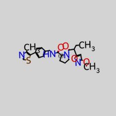 CCC(C(=O)N1CCC[C@H]1C(=O)NCc1ccc(-c2scnc2C)cc1)c1cc(OC)no1